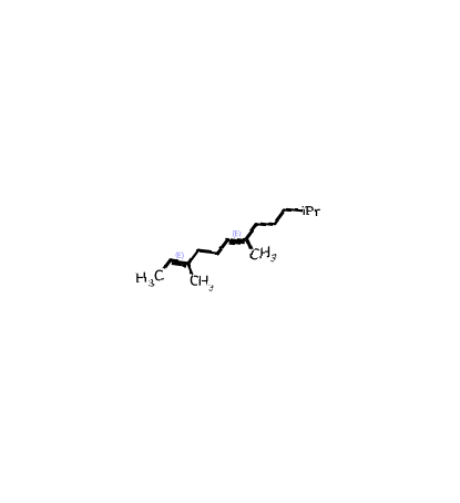 C/C=C(\C)CC/C=C(\C)CCCC(C)C